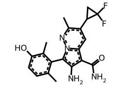 Cc1ccc(O)c(C)c1-c1c(N)c(C(N)=O)c2cc(C3CC3(F)F)c(C)nn12